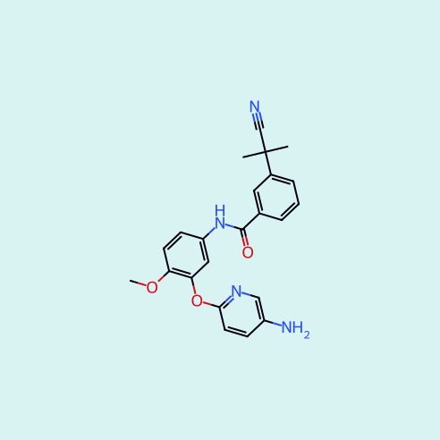 COc1ccc(NC(=O)c2cccc(C(C)(C)C#N)c2)cc1Oc1ccc(N)cn1